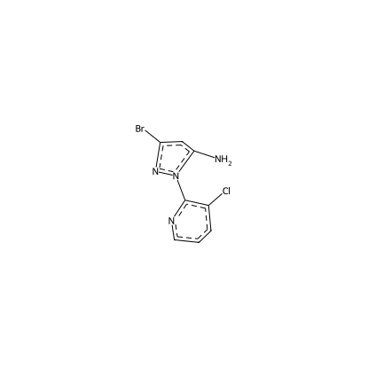 Nc1cc(Br)nn1-c1ncccc1Cl